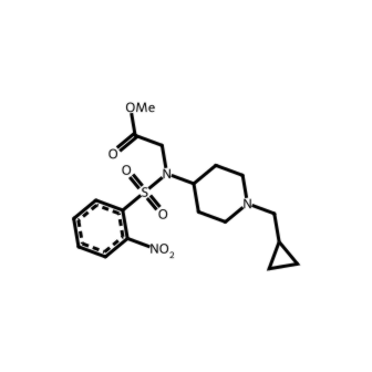 COC(=O)CN(C1CCN(CC2CC2)CC1)S(=O)(=O)c1ccccc1[N+](=O)[O-]